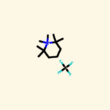 CC1(C)CCCC(C)(C)[N+]1(C)C.F[B-](F)(F)F